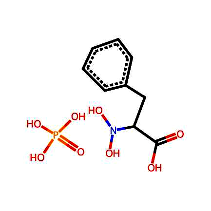 O=C(O)C(Cc1ccccc1)N(O)O.O=P(O)(O)O